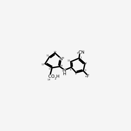 N#Cc1cc(F)cc(Nc2ncccc2C(=O)O)c1